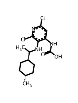 CC(Nc1c(NC(=O)O)cc(Cl)nc1Cl)[C@H]1CC[C@H](C)CC1